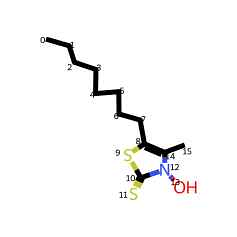 CCCCCCCCc1sc(=S)n(O)c1C